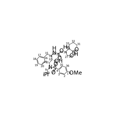 COc1ccc(S(=O)(=O)N(CC(C)C)C[C@@H](O)C(Cc2ccccc2)NC(=O)O[C@H]2CO[C@@H]3OCCC[C@@H]32)cc1